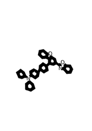 c1ccc(N(c2ccccc2)c2ccc(-c3ccc(-c4cc(-c5nc6ccccc6o5)cc5oc6ccccc6c45)cc3)cc2)cc1